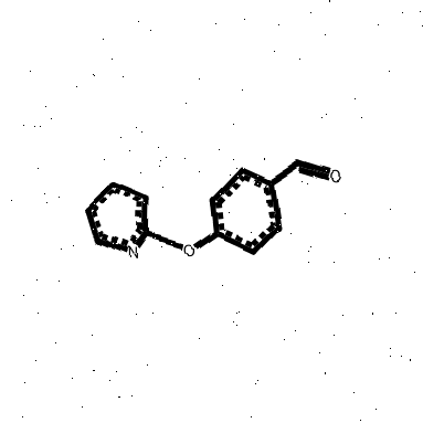 O=Cc1ccc(Oc2ccccn2)cc1